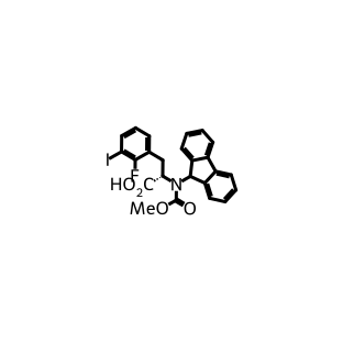 COC(=O)N(C1c2ccccc2-c2ccccc21)[C@@H](Cc1cccc(I)c1F)C(=O)O